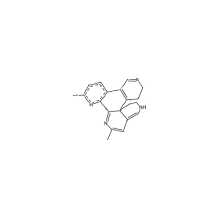 CC1=CC2=CNCCC23C(=N1)c1nc(C)ccc1C1=C3CCN=C1